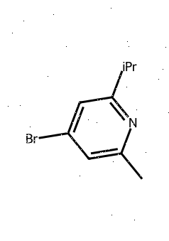 Cc1cc(Br)cc(C(C)C)n1